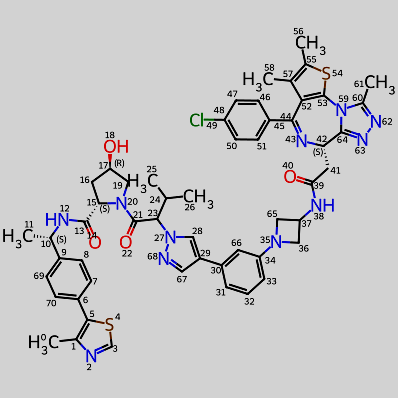 Cc1ncsc1-c1ccc([C@H](C)NC(=O)[C@@H]2C[C@@H](O)CN2C(=O)C(C(C)C)n2cc(-c3cccc(N4CC(NC(=O)C[C@@H]5N=C(c6ccc(Cl)cc6)c6c(sc(C)c6C)-n6c(C)nnc65)C4)c3)cn2)cc1